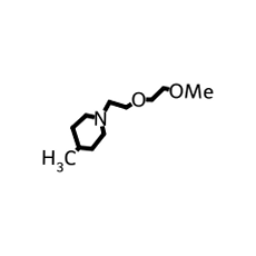 COCCOCCN1CCC(C)CC1